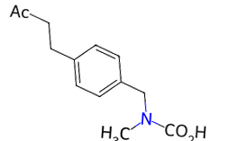 CC(=O)CCc1ccc(CN(C)C(=O)O)cc1